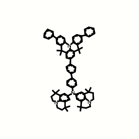 CC1(C)CCN2CCC(C)(C)c3cc(N(c4ccc(-c5ccc(-c6cc7c8c(c6)C(C)(C)c6cc(-c9ccccc9)ccc6N8c6ccc(-c8ccccc8)cc6C7(C)C)cc5)cc4)c4cc5c6c(c4)C(C)(C)CCN6CCC5(C)C)cc1c32